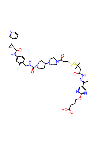 C/C(=N\NC(=O)CC(C)(C)SSCCC(=O)N1CCN(C2CCN(C(=O)NCc3ccc(NC(=O)[C@H]4C[C@@H]4c4cccnc4)cc3F)CC2)CC1)c1cnc(OCCCC(=O)O)nc1